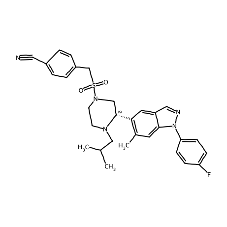 Cc1cc2c(cnn2-c2ccc(F)cc2)cc1[C@H]1CN(S(=O)(=O)Cc2ccc(C#N)cc2)CCN1CC(C)C